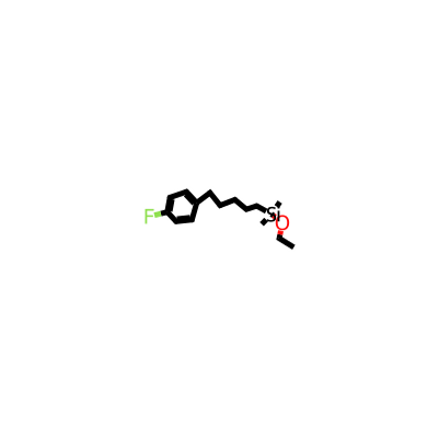 CCO[Si](C)(C)CCCCCc1ccc(F)cc1